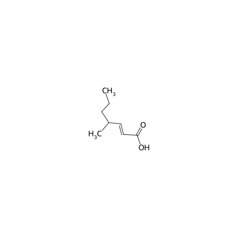 CCCC(C)C=CC(=O)O